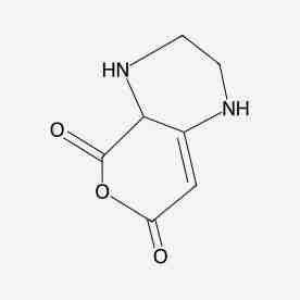 O=C1C=C2NCCNC2C(=O)O1